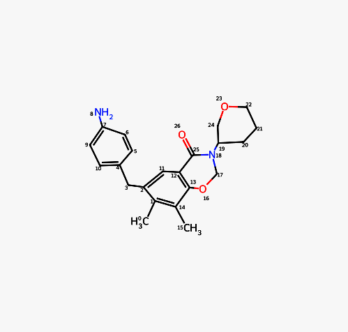 Cc1c(Cc2ccc(N)cc2)cc2c(c1C)OCN(C1CCCOC1)C2=O